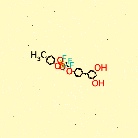 Cc1ccc(OS(=O)(=O)C(F)(F)C(F)(F)Oc2ccc(-c3cc(O)cc(O)c3)cc2)cc1